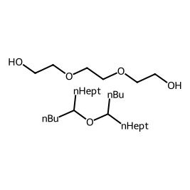 CCCCCCCC(CCCC)OC(CCCC)CCCCCCC.OCCOCCOCCO